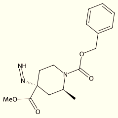 COC(=O)[C@@]1(N=N)CCN(C(=O)OCc2ccccc2)[C@@H](C)C1